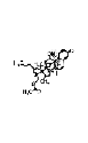 CCCC(=O)O[C@]1(C(=O)COC(C)=O)C(C)C[C@H]2[C@@H]3CCC4=CC(=O)C=C[C@]4(C)[C@@]3(Cl)C(O)C[C@@]21C